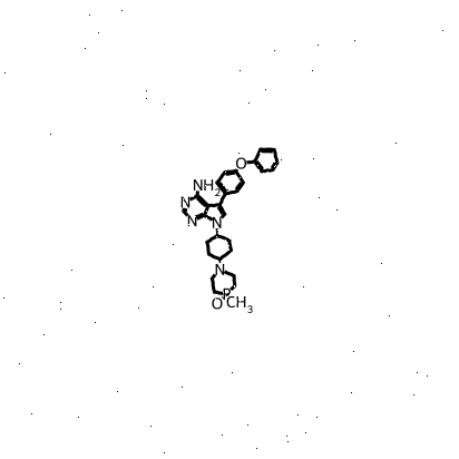 CP1(=O)CCN([C@H]2CC[C@H](n3cc(-c4ccc(Oc5ccccc5)cc4)c4c(N)ncnc43)CC2)CC1